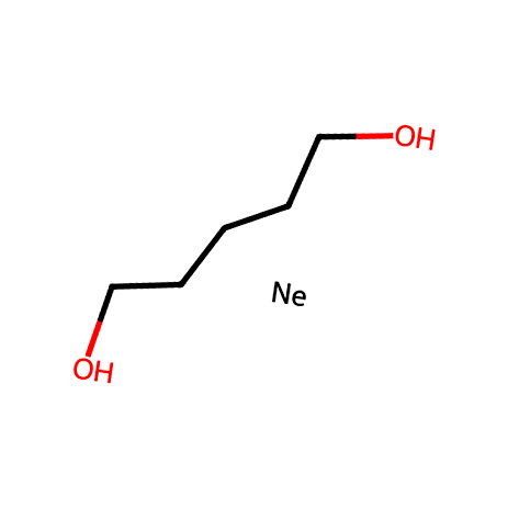 OCCCCCO.[Ne]